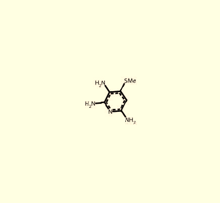 CSc1cc(N)nc(N)c1N